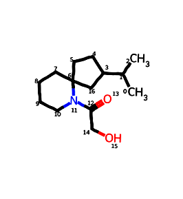 CC(C)C1CCC2(CCCCN2C(=O)CO)C1